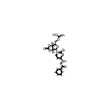 CC(C)C(O)OC[C@H]1O[C@@H](n2ccc(NOC(=O)c3ccccc3)nc2=O)[C@@H]2OC(=O)O[C@@H]21